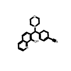 N#CC1=CC=C(C(c2ccc3cccnc3c2O)N2CCOCC2)CC1